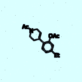 CCc1ccc(C2=CCN(C(C)=O)CC2)c(OC(C)=O)c1